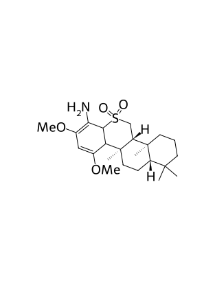 COC1=CC(OC)=C(N)C2C1[C@]1(C)CC[C@H]3C(C)(C)CCC[C@]3(C)[C@H]1CS2(=O)=O